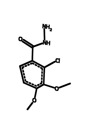 COc1ccc(C(=O)NN)c(Cl)c1OC